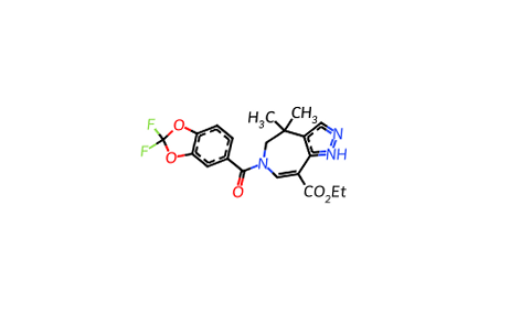 CCOC(=O)C1=CN(C(=O)c2ccc3c(c2)OC(F)(F)O3)CC(C)(C)c2cn[nH]c21